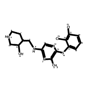 Cc1nc(NCC2CCNCC2O)cnc1Sc1cccc(Cl)c1Cl